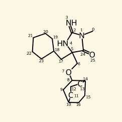 CN1C(=N)NC(COC2CC3CCCC2CC3)(CC2CCCCC2)C1=O